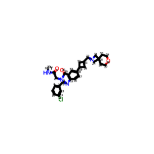 CC(C)NC(=O)Cn1c(-c2cccc(Cl)c2)nc2ccc(C3CC(CN4CC5(CCOCC5)C4)C3)cc2c1=O